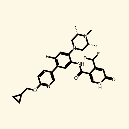 C[C@@H]1CN(c2cc(F)c(-c3ccc(OCC4CC4)nc3)cc2NC(=O)c2c[nH]c(=O)cc2C(F)F)C[C@H](C)N1C